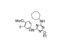 CCOc1nc(Nc2ccc(OC)c(F)c2)nc(NC2CCCCCC2)n1